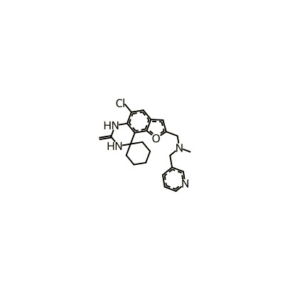 C=C1Nc2c(Cl)cc3cc(CN(C)Cc4cccnc4)oc3c2C2(CCCCC2)N1